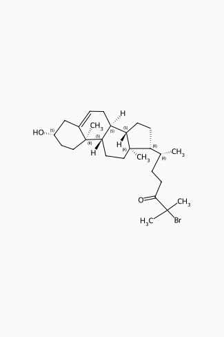 C[C@H](CCC(=O)C(C)(C)Br)[C@H]1CC[C@H]2[C@@H]3CC=C4C[C@@H](O)CC[C@]4(C)[C@H]3CC[C@]12C